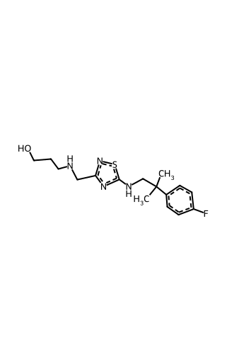 CC(C)(CNc1nc(CNCCCO)ns1)c1ccc(F)cc1